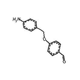 Nc1ccc(COc2ccc(C=O)cc2)cc1